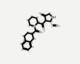 O=C[C@H]1NCC(=S)C1C(=O)C1CCCCN1C(=O)C1CCc2ccccc2C1